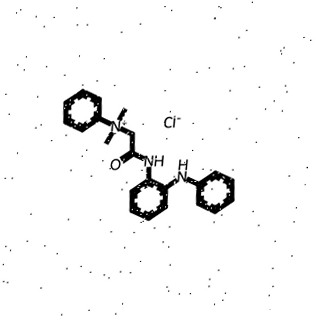 C[N+](C)(CC(=O)Nc1ccccc1Nc1ccccc1)c1ccccc1.[Cl-]